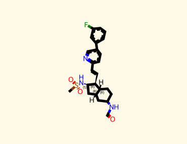 CS(=O)(=O)N[C@H]1C[C@H]2CC(NC=O)CC[C@H]2[C@@H]1C=Cc1ccc(-c2cccc(F)c2)cn1